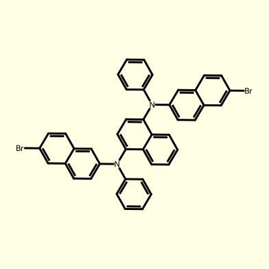 Brc1ccc2cc(N(c3ccccc3)c3ccc(N(c4ccccc4)c4ccc5cc(Br)ccc5c4)c4ccccc34)ccc2c1